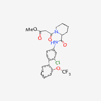 COC(=O)CC(=O)N1CCCCC1C(=O)Nc1ccc(-c2ccccc2OC(F)(F)F)c(Cl)c1